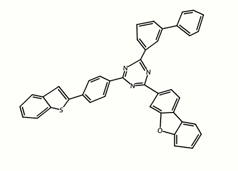 c1ccc(-c2cccc(-c3nc(-c4ccc(-c5cc6ccccc6s5)cc4)nc(-c4ccc5c(c4)oc4ccccc45)n3)c2)cc1